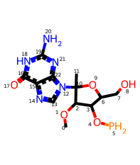 COC1C(OP)C(CO)OC1(C)n1cnc2c(=O)[nH]c(N)nc21